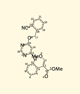 CO/C=C(/C(=O)OC)c1ccccc1Oc1cc(OCc2ccccc2C#N)ncn1